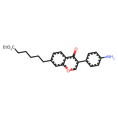 CCOC(=O)CCCCCc1ccc2c(=O)c(-c3ccc(N)cc3)coc2c1